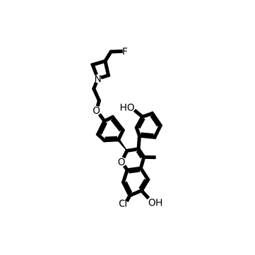 CC1=C(c2cccc(O)c2)[C@H](c2ccc(OCCN3CC(CF)C3)cc2)Oc2cc(Cl)c(O)cc21